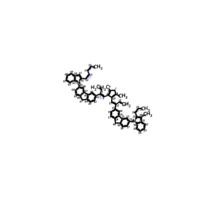 C=C/C(=C\C1=C(C)CC(C)=C1/C=C(\C=C)c1ccc2c(c1)-c1cc(-n3c(/C=C\C)c(C)c4ccccc43)ccc1C2)c1ccc2c(c1)-c1cc(-n3c(/C=C\C=C/C)cc4ccccc43)ccc1C2